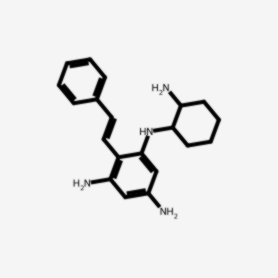 Nc1cc(N)c(C=Cc2ccccc2)c(NC2CCCCC2N)c1